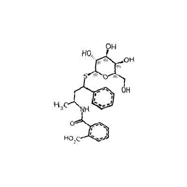 CC(CC(S[C@@H]1O[C@H](CO)[C@H](O)[C@H](O)[C@H]1O)c1ccccc1)NC(=O)c1ccccc1C(=O)O